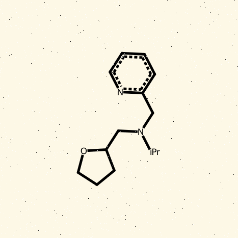 CC(C)N(Cc1ccccn1)CC1CCCO1